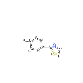 Cc1c[c]c(-c2nccs2)cc1